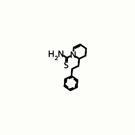 NC(=S)N1C=CCCC1CCc1ccccc1